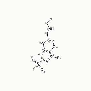 CCNC[C@H]1COc2c(F)cc(S(C)(=O)=O)cc2O1